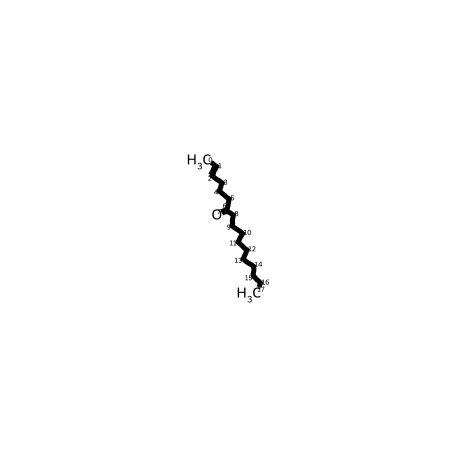 CC=CCCCC(=O)CCCCCCCCCC